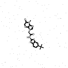 Cn1c(=O)cnc2c1ncn2CC(=O)Nc1nc2ccc(C(C)(C)C)cc2s1